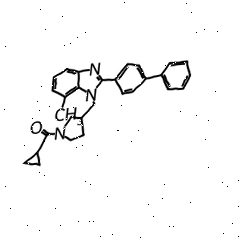 Cc1cccc2nc(-c3ccc(-c4ccccc4)cc3)n(CC3CCN(C(=O)C4CC4)C3)c12